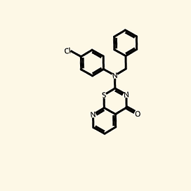 O=c1nc(N(Cc2ccccc2)c2ccc(Cl)cc2)sc2ncccc12